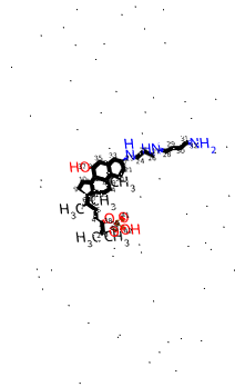 CC(C)[C@@H](CC[C@@H](C)[C@H]1CCC2C3C(CC[C@@]21C)[C@@]1(C)CC[C@H](NCCCNCCCCN)CC1C[C@H]3O)OS(=O)(=O)O